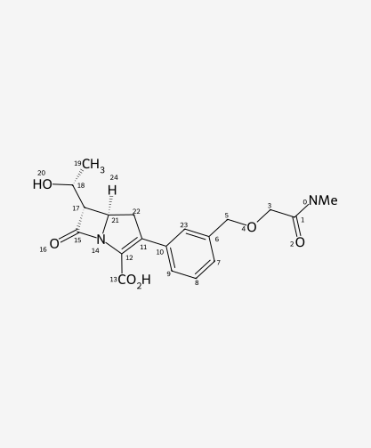 CNC(=O)COCc1cccc(C2=C(C(=O)O)N3C(=O)[C@H]([C@@H](C)O)[C@H]3C2)c1